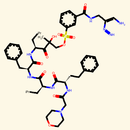 CC(C)C[C@H](NC(=O)[C@H](CCc1ccccc1)NC(=O)CN1CCOCC1)C(=O)N[C@@H](Cc1ccccc1)C(=O)N[C@@H](CC(C)C)C(=O)C(C)(O)COS(=O)(=O)c1cccc(C(=O)NC/C(=C/N)N=N)c1